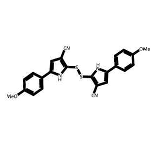 COc1ccc(-c2cc(C#N)c(SSc3[nH]c(-c4ccc(OC)cc4)cc3C#N)[nH]2)cc1